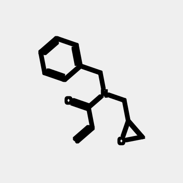 C=CC(=O)N(Cc1ccccc1)CC1CO1